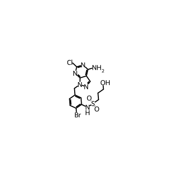 Nc1nc(Cl)nc2c1cnn2Cc1ccc(Br)c(NS(=O)(=O)CCCO)c1